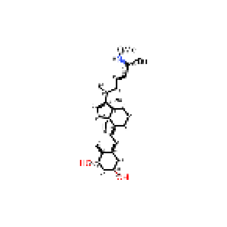 C=C1/C(=C\C=C2/CCC[C@]3(C)C([C@@H](C)C/C=C/C(=NOC)C(C)(C)C)=CC[C@@H]23)C[C@@H](O)C[C@@H]1O